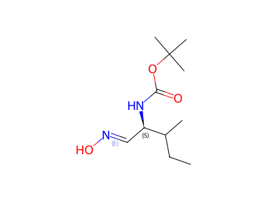 CCC(C)[C@@H](/C=N/O)NC(=O)OC(C)(C)C